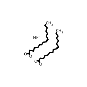 CCCCCC/C=C\CCCCCCCC(=O)[O-].CCCCCC/C=C\CCCCCCCC(=O)[O-].[Ni+2]